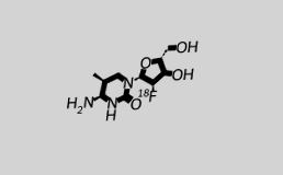 C[C@H]1CN([C@@H]2O[C@H](CO)C(O)[C@@H]2[18F])C(=O)N[C@H]1N